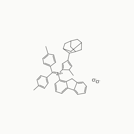 Cc1ccc([C](c2ccc(C)cc2)=[Zr+2]([C]2=CC(C3C4CC5CC(C4)CC3C5)=CC2C)[c]2cccc3c2Cc2ccccc2-3)cc1.[Cl-].[Cl-]